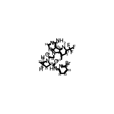 Cc1cc(C(F)(F)F)nc2c3c(N)ncnc3n(CC(=O)N3[C@@H]4C[C@@H]4C[C@H]3C(=O)Nc3cccc(Br)n3)c12